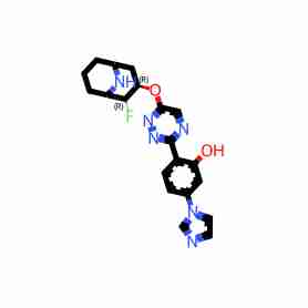 Oc1cc(-n2ccnc2)ccc1-c1ncc(O[C@@H]2CC3CCCC(N3)[C@H]2F)nn1